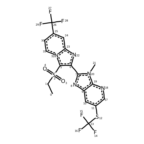 CCS(=O)(=O)c1c(-c2nc3cc(SC(F)(F)F)cnc3n2C)nc2cc(C(F)(F)F)ccn12